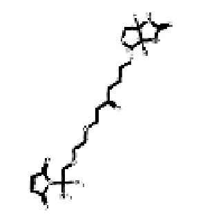 NC(N)(COCCOCCC(=O)CCCC[C@@H]1SC[C@@H]2NC(=O)N[C@@H]21)N1C(=O)C=CC1=O